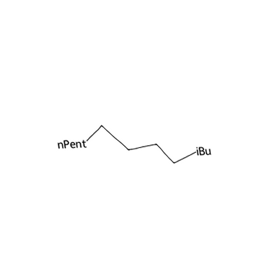 [CH2]CCCCCCCCC(C)CC